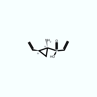 C=C[C@@H]1C[C@]1(N)P(=O)(O)C=C